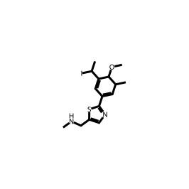 CNCc1cnc(C2=CC(C)C(OC)C(C(C)I)=C2)s1